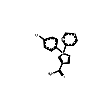 Cc1ccc(S2(c3ccncn3)C=CC(C(N)=O)=C2)cc1